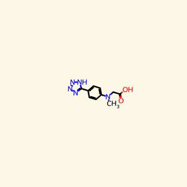 CN(CC(=O)O)c1ccc(-c2nnn[nH]2)cc1